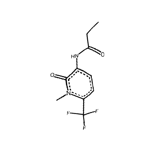 CCC(=O)Nc1ccc(C(F)(F)F)n(C)c1=O